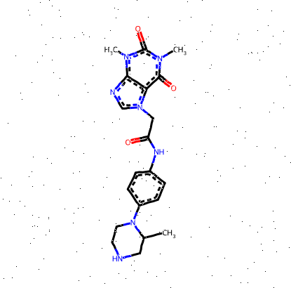 CC1CNCCN1c1ccc(NC(=O)Cn2cnc3c2c(=O)n(C)c(=O)n3C)cc1